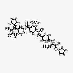 CC[C@@H]1C(=O)N(C)c2cnc(Nc3ccc(C(=O)Nc4ccc(C[C@H](N)C(=O)OC5CCCC5)cc4)cc3OC)nc2N1C1CCCC1